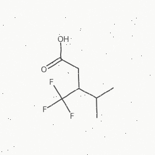 CC(C)C(CC(=O)O)C(F)(F)F